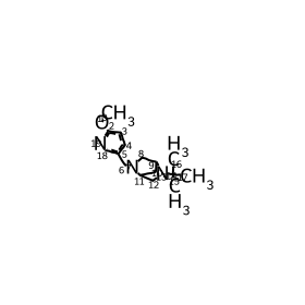 COc1ccc(CN2CC3CC2CN3C(C)(C)C)cn1